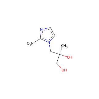 C[C@](O)(CO)Cn1ccnc1[N+](=O)[O-]